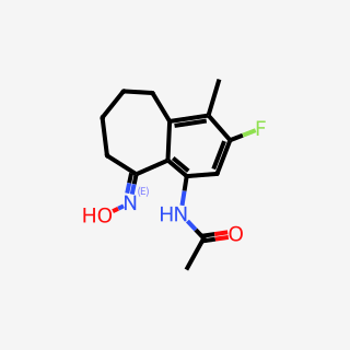 CC(=O)Nc1cc(F)c(C)c2c1/C(=N/O)CCCC2